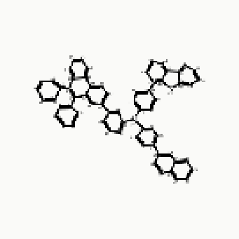 c1ccc(-c2c(-c3ccccc3)c3cc(-c4cccc(N(c5ccc(-c6ccc7ccccc7c6)cc5)c5ccc(-c6cccc7c6sc6ccccc67)cc5)c4)ccc3c3ccccc23)cc1